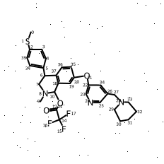 CSc1ccc(C2CN(C)C(OC(=O)C(F)(F)F)c3cc(Oc4cncc(CN5CCCCC5)c4)ccc32)cc1